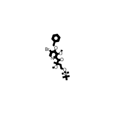 COc1c(C(=O)C(C)(CCO[Si](C)(C)C(C)(C)C)OC)ncc(Br)c1OCc1ccccc1